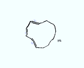 C1=C\C=C\CCCCCC/C=C/1.[Ni]